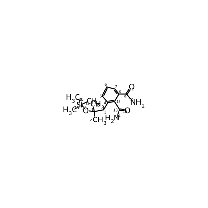 CC(C)(Cc1cccc(C(N)=O)c1C(N)=O)O[Si](C)(C)C